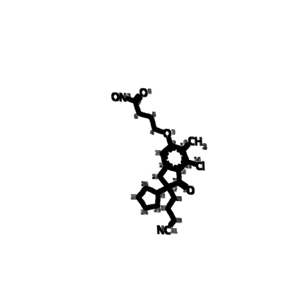 Cc1c(OCCCC(=O)N=O)cc2c(c1Cl)C(=O)C(CCCC#N)(C1CCCC1)C2